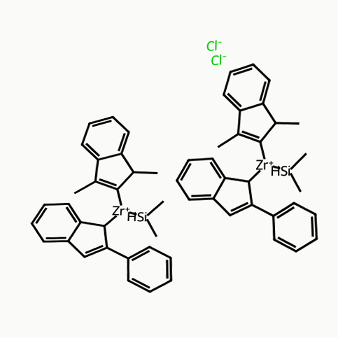 CC1=[C]([Zr+]([CH]2C(c3ccccc3)=Cc3ccccc32)[SiH](C)C)C(C)c2ccccc21.CC1=[C]([Zr+]([CH]2C(c3ccccc3)=Cc3ccccc32)[SiH](C)C)C(C)c2ccccc21.[Cl-].[Cl-]